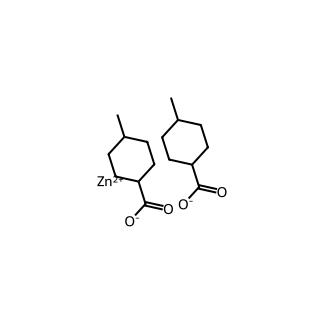 CC1CCC(C(=O)[O-])CC1.CC1CCC(C(=O)[O-])CC1.[Zn+2]